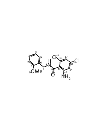 COc1ccccc1CNC(=O)c1c(N)cc(Cl)cc1Cl